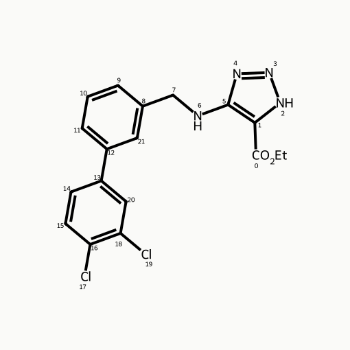 CCOC(=O)c1[nH]nnc1NCc1cccc(-c2ccc(Cl)c(Cl)c2)c1